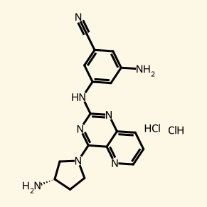 Cl.Cl.N#Cc1cc(N)cc(Nc2nc(N3CC[C@H](N)C3)c3ncccc3n2)c1